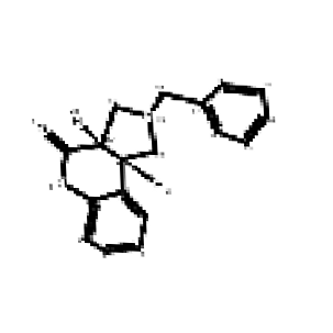 O=C1Oc2ccccc2[C@H]2CN(Cc3ccccc3)C[C@@H]12